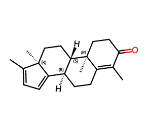 CC1=CC=C2[C@@H]3CCC4=C(C)C(=O)CC[C@]4(C)[C@H]3CC[C@]12C